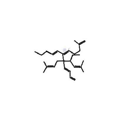 C=CC=CC(CC=C(C)C)(/C(=[C]\CCC(=C)C)C=CCCC)C(C=C(C)C)CC